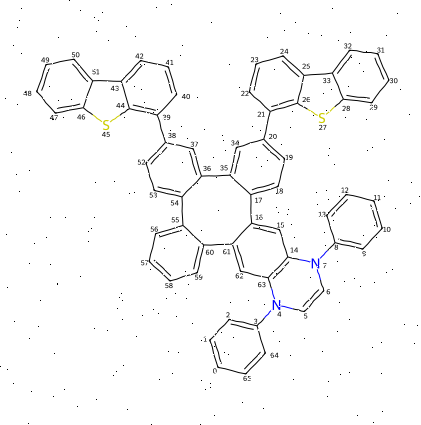 c1ccc(-n2ccn(-c3ccccc3)c3cc4c5ccc(-c6cccc7c6sc6ccccc67)cc5c5cc(-c6cccc7c6sc6ccccc67)ccc5c5ccccc5c4cc32)cc1